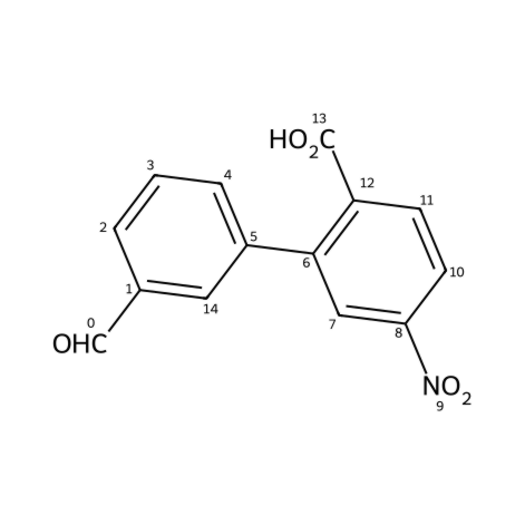 O=Cc1cccc(-c2cc([N+](=O)[O-])ccc2C(=O)O)c1